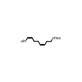 CCC/C=C\CC/C=C\CCCCCCCC